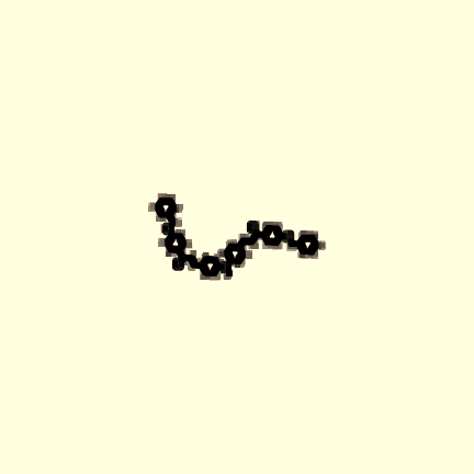 CN(c1ccc(C=CC(=O)c2ccc(OCc3ccccc3)cc2)cc1)c1ccc(C=CC(=O)c2ccc(OCc3ccccc3)cc2)cc1